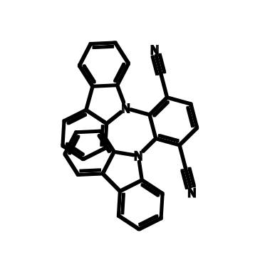 N#Cc1ccc(C#N)c(-n2c3ccccc3c3ccccc32)c1-n1c2ccccc2c2ccccc21